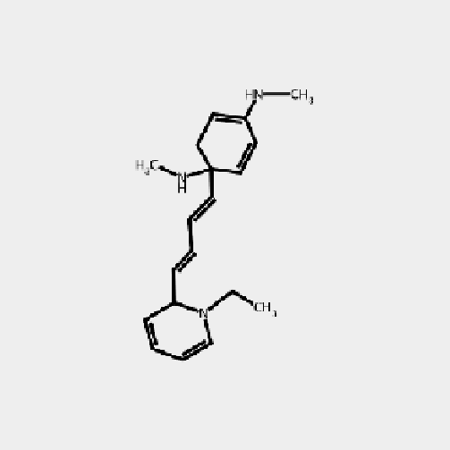 CCN1C=CC=CC1C=CC=CC1(NC)C=CC(NC)=CC1